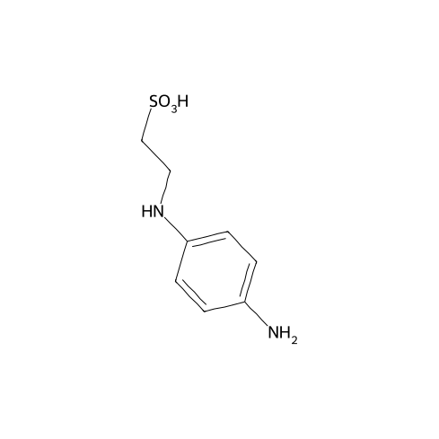 Nc1ccc(NCCS(=O)(=O)O)cc1